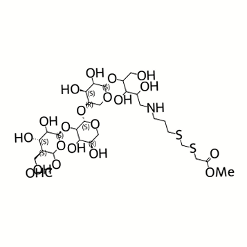 COC(=O)CSCSCCCNCC(O)C(O)C(CO)O[C@@H]1OC[C@@H](O[C@@H]2OC[C@@H](O)C(O)C2O[C@H]2OC(OC=O)[C@@H](CO)[C@H](O)C2O)[C@@H](O)C1O